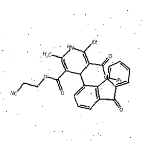 CCC1=C(C(=O)OC(C)C)C(c2cccc3c2-c2ccccc2C3=O)C(C(=O)OCCC#N)=C(C)N1